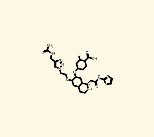 CC(=O)NCc1cn(CCOC2CC3CCN[C@H](CC(=O)Nc4nccs4)C3CC2OC2CCC(C(=O)O)C(F)C2)nn1